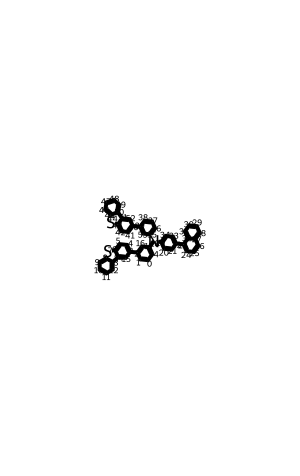 c1cc(-c2ccc3sc4ccccc4c3c2)cc(N(c2ccc(-c3cccc4ccccc34)cc2)c2cccc(-c3ccc4sc5ccccc5c4c3)c2)c1